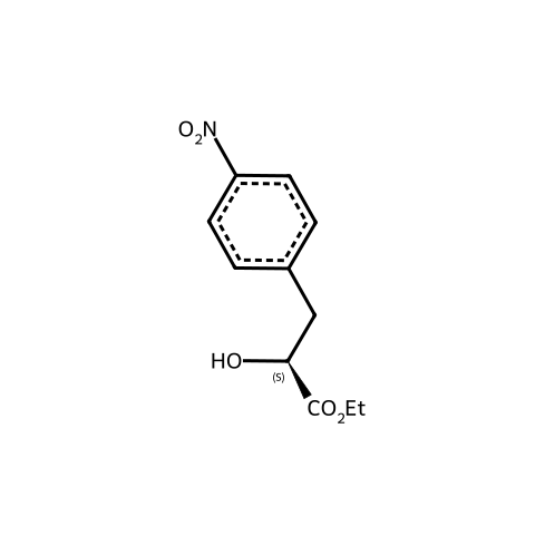 CCOC(=O)[C@@H](O)Cc1ccc([N+](=O)[O-])cc1